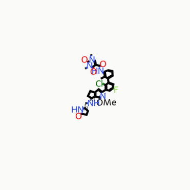 COc1nc(-c2cc(F)cc(-c3cccc(NC(=O)c4cn(C)c(=O)n(C)c4=O)c3C)c2Cl)cc2c1[C@@H](NC[C@@H]1CCC(=O)N1)CC2